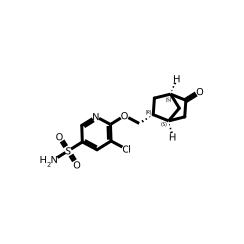 NS(=O)(=O)c1cnc(OC[C@@H]2C[C@@H]3C[C@H]2CC3=O)c(Cl)c1